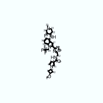 CO[C@H]1C[C@H](n2ccc(C(=O)NCc3nc(-c4cc5c(N[C@@H]6CCN(C)C[C@@H]6F)cccc5n4CC(F)(F)F)no3)c2)C1